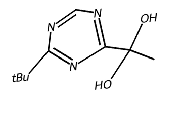 CC(C)(C)c1ncnc(C(C)(O)O)n1